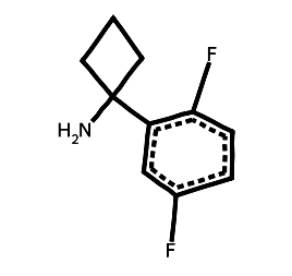 NC1(c2cc(F)ccc2F)CCC1